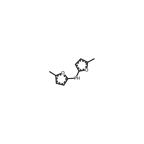 Cc1ccc(Pc2ccc(C)o2)o1